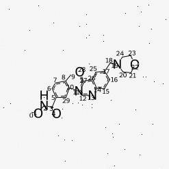 CONC(=O)c1ccc(C)c(-n2cnc3ccc(CN4CCOCC4)cc3c2=O)c1